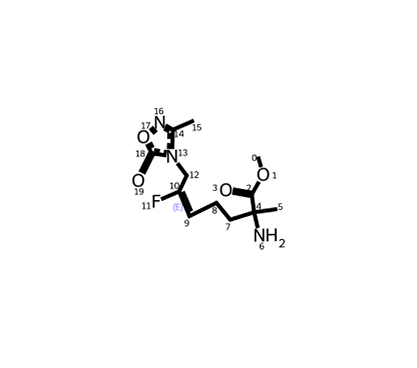 COC(=O)C(C)(N)CC/C=C(/F)Cn1c(C)noc1=O